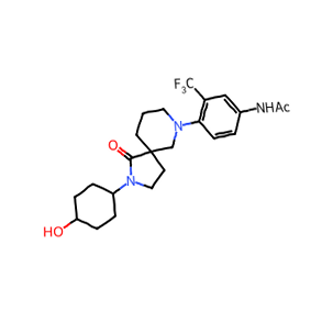 CC(=O)Nc1ccc(N2CCCC3(CCN(C4CCC(O)CC4)C3=O)C2)c(C(F)(F)F)c1